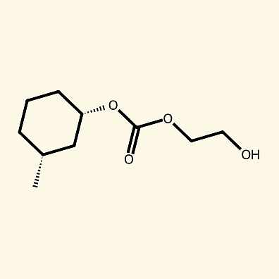 C[C@@H]1CCC[C@H](OC(=O)OCCO)C1